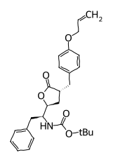 C=CCOc1ccc(C[C@@H]2C[C@@H]([C@H](Cc3ccccc3)NC(=O)OC(C)(C)C)OC2=O)cc1